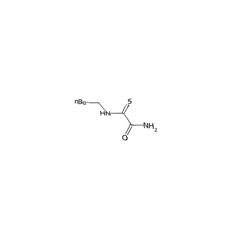 CCCCCNC(=S)C(N)=O